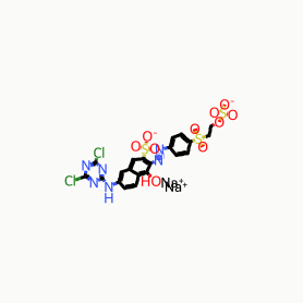 O=S(=O)([O-])OCCS(=O)(=O)c1ccc(/N=N/c2c(S(=O)(=O)[O-])cc3cc(Nc4nc(Cl)nc(Cl)n4)ccc3c2O)cc1.[Na+].[Na+]